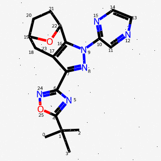 CC(C)(C)c1nc(-c2nn(-c3cnccn3)c3c2CC2CCC3O2)no1